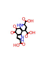 O=C(O)C1=CC(C(=O)O)NC2=C1c1[nH]c(C(=O)O)cc1C(=O)C2=O